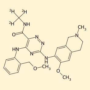 [2H]C([2H])([2H])NC(=O)c1nnc(Nc2cc3c(cc2OC)CCN(C)C3)nc1Nc1ccccc1COC